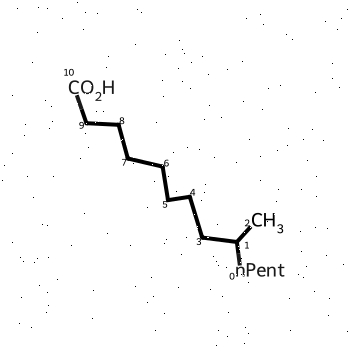 CCCCCC(C)CCCCCCCC(=O)O